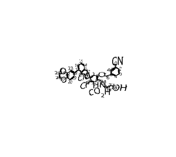 N#Cc1cccc(COc2cc(OCc3cccc(-c4ccc5c(c4)OCCO5)c3C#N)c(Cl)cc2CNC(CO)C(=O)O)c1